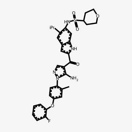 Cc1cc(Oc2ccccc2F)ccc1-n1ncc(C(=O)c2cc3cc(C(C)C)c(NS(=O)(=O)C4CCOCC4)cc3[nH]2)c1N